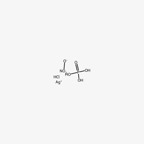 Cl.O=P(O)(O)O.O=[N+]([O-])[O-].[Ag+]